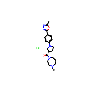 Cc1nnc(-c2ccc(N3CC[C@H](C(=O)N4CCCN(C(C)C)CC4)C3)cc2)o1.Cl